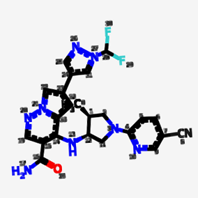 C[C@H]1CN(c2ccc(C#N)cn2)C[C@H]1Nc1c(C(N)=O)cnn2cc(-c3cnn(C(F)F)c3)cc12